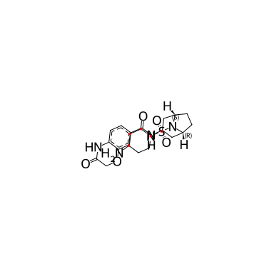 NC1CCN(S(=O)(=O)N2[C@@H]3CC[C@H]2CC(NC(=O)c2ccc4c(c2)OCC(=O)N4)C3)CC1